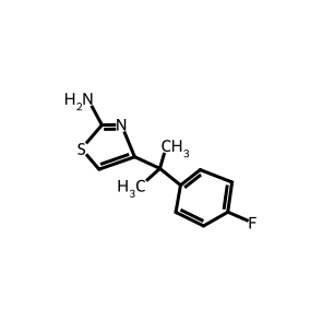 CC(C)(c1ccc(F)cc1)c1csc(N)n1